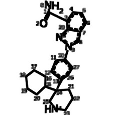 NC(=O)c1cccc2cn(-c3ccc([C@@]4(C5CCCCC5)CCCNC4)cc3)nc12